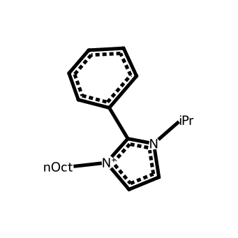 CCCCCCCC[n+]1ccn(C(C)C)c1-c1ccccc1